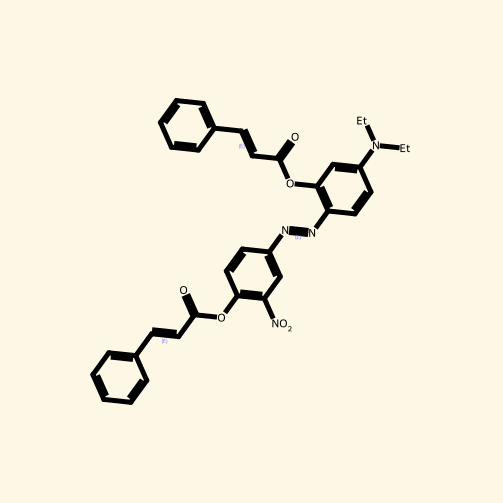 CCN(CC)c1ccc(/N=N/c2ccc(OC(=O)/C=C/c3ccccc3)c([N+](=O)[O-])c2)c(OC(=O)/C=C/c2ccccc2)c1